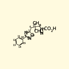 CC(C)(CNC(=O)O)Cc1nc(-c2ccccc2)no1